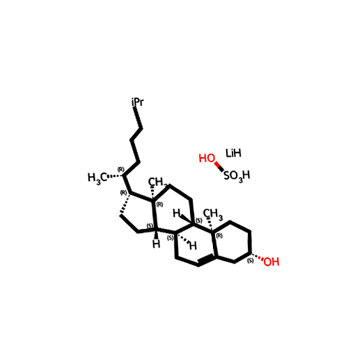 CC(C)CCC[C@@H](C)[C@H]1CC[C@H]2[C@@H]3CC=C4C[C@@H](O)CC[C@]4(C)[C@H]3CC[C@]12C.O=S(=O)(O)O.[LiH]